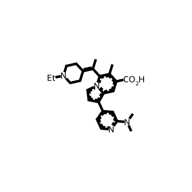 CCN1CCC(=C(C)c2c(C)c(C(=O)O)cc3c(-c4ccnc(N(C)C)c4)ccn23)CC1